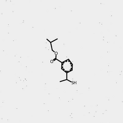 CC(C)COC(=O)c1cccc(C(C)S)c1